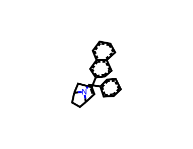 C1=C(c2ccc3ccccc3c2)CC2CCC1N2Cc1ccccc1